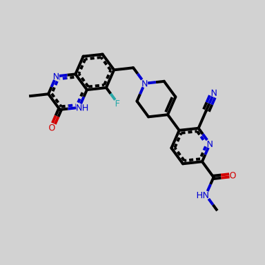 CNC(=O)c1ccc(C2=CCN(Cc3ccc4nc(C)c(=O)[nH]c4c3F)CC2)c(C#N)n1